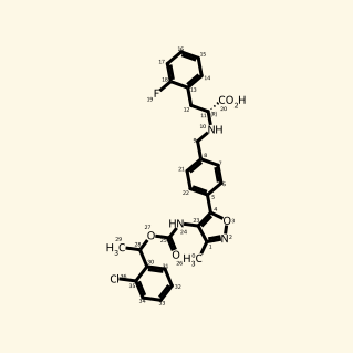 Cc1noc(-c2ccc(CN[C@H](Cc3ccccc3F)C(=O)O)cc2)c1NC(=O)OC(C)c1ccccc1Cl